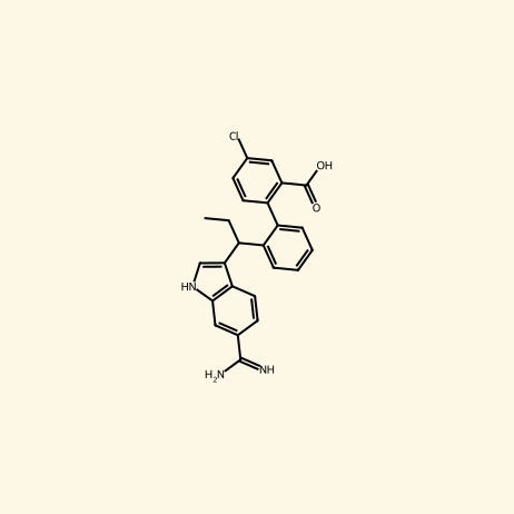 CCC(c1ccccc1-c1ccc(Cl)cc1C(=O)O)c1c[nH]c2cc(C(=N)N)ccc12